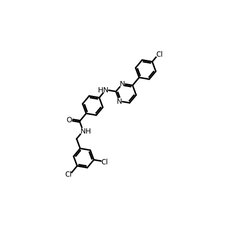 O=C(NCc1cc(Cl)cc(Cl)c1)c1ccc(Nc2nccc(-c3ccc(Cl)cc3)n2)cc1